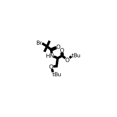 CC(C)(C)OCC(NC(=O)C(C)(C)Br)C(=O)OC(C)(C)C